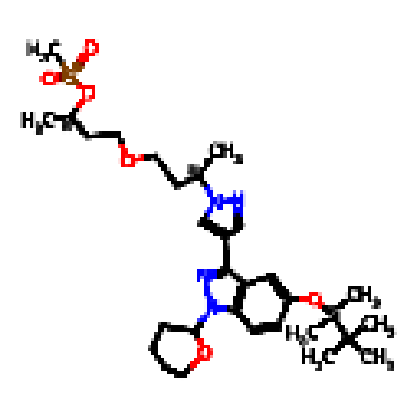 C[C@H](CCOCC[C@@H](C)n1cc(-c2nn(C3CCCCO3)c3ccc(O[Si](C)(C)C(C)(C)C)cc23)cn1)OS(C)(=O)=O